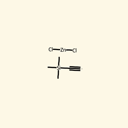 [C]#C[Si](C)(C)C.[Cl][Zn][Cl]